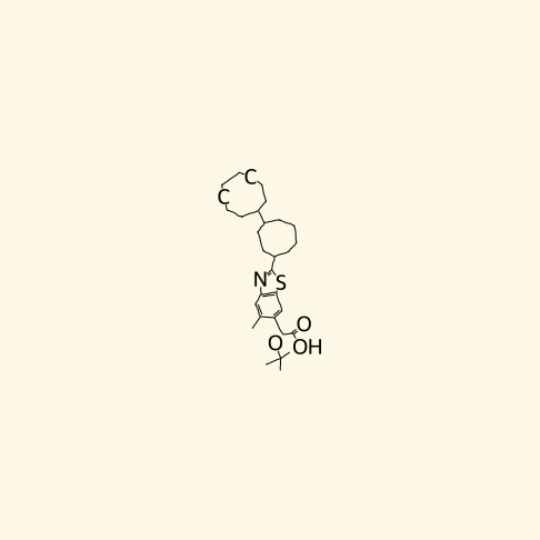 Cc1cc2nc(C3CCCCC(C4CCCCCCCC4)CC3)sc2cc1C(OC(C)(C)C)C(=O)O